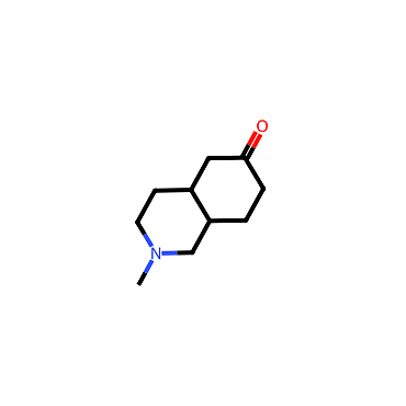 CN1CCC2CC(=O)CCC2C1